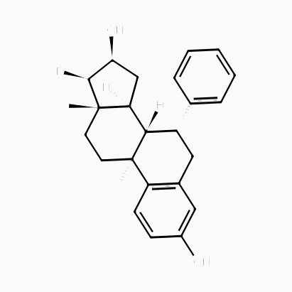 C[C@]12CC[C@@H]3c4ccc(O)cc4C[C@@H](c4ccccc4)[C@H]3[C@@H]1C[C@H](O)[C@@H]2F